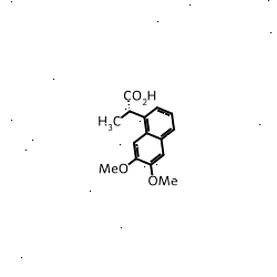 COc1cc2cccc([C@H](C)C(=O)O)c2cc1OC